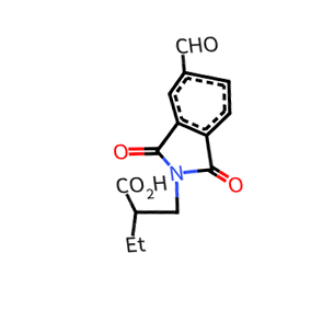 CCC(CN1C(=O)c2ccc(C=O)cc2C1=O)C(=O)O